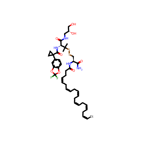 CC/C=C\C/C=C\C/C=C\C/C=C\C/C=C\C/C=C\CCC(=O)N[C@@H](CSSC(C)(C)[C@H](NC(=O)C1(c2ccc3c(c2)OC(F)(F)O3)CC1)C(=O)NC[C@@H](O)CO)C(N)=O